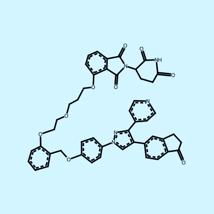 O=C1CCC(N2C(=O)c3cccc(OCCCOCCOc4ccccc4COc4ccc(-n5cc(-c6ccc7c(c6)CCC7=O)c(-c6ccncc6)n5)cc4)c3C2=O)C(=O)N1